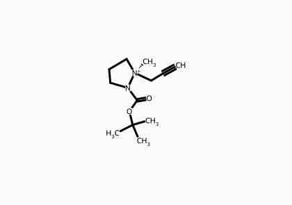 C#CC[N@+]1(C)CCCN1C(=O)OC(C)(C)C